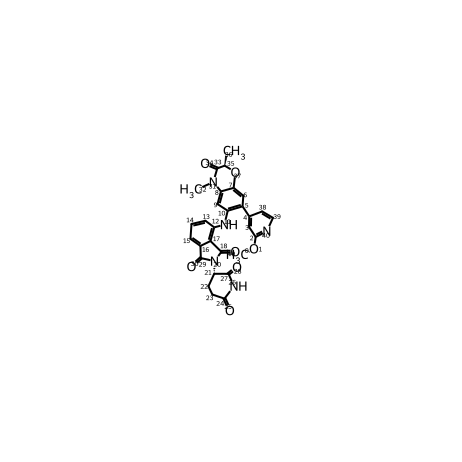 COc1cc(-c2cc3c(cc2Nc2cccc4c2C(=O)N([C@H]2CCC(=O)NC2=O)C4=O)N(C)C(=O)[C@@H](C)O3)ccn1